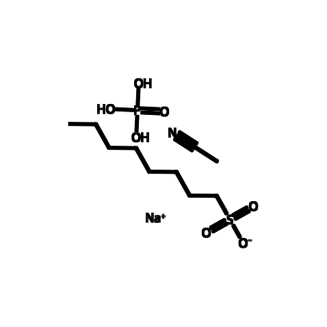 CC#N.CCCCCCCCS(=O)(=O)[O-].O=P(O)(O)O.[Na+]